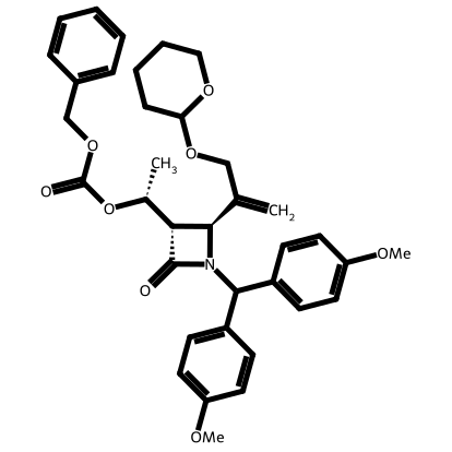 C=C(COC1CCCCO1)[C@@H]1[C@@H]([C@@H](C)OC(=O)OCc2ccccc2)C(=O)N1C(c1ccc(OC)cc1)c1ccc(OC)cc1